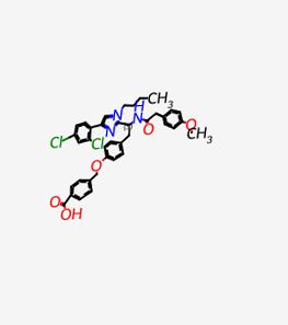 CCCCn1cc(-c2ccc(Cl)cc2Cl)nc1[C@H](Cc1ccc(OCc2ccc(C(=O)O)cc2)cc1)NC(=O)Cc1ccc(OC)cc1